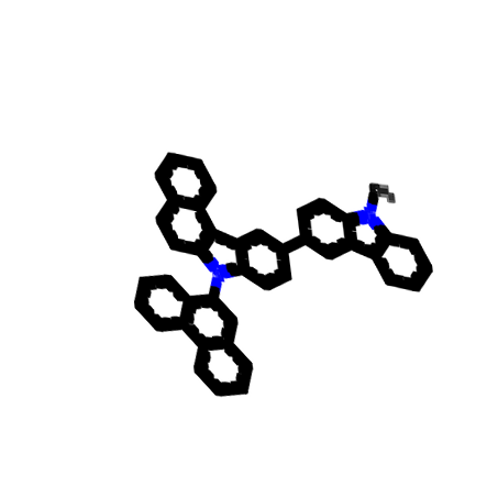 Cn1c2ccccc2c2cc(-c3ccc4c(c3)c3c5ccccc5ccc3n4-c3cc4ccccc4c4ccccc34)ccc21